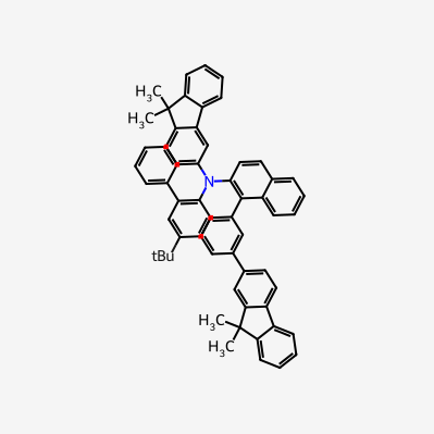 CC(C)(C)c1ccc(N(c2ccc3c(c2)-c2ccccc2C3(C)C)c2ccc3ccccc3c2-c2cccc(-c3ccc4c(c3)C(C)(C)c3ccccc3-4)c2)c(-c2ccccc2)c1